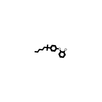 CCCCCC(C)(C)c1ccc(Oc2ccccc2[O])cc1